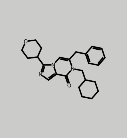 O=c1c2cnc(C3CCOCC3)n2cc(Cc2ccccc2)n1CC1CCCCC1